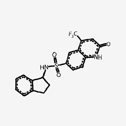 O=c1cc(C(F)(F)F)c2cc(S(=O)(=O)NC3CCc4ccccc43)ccc2[nH]1